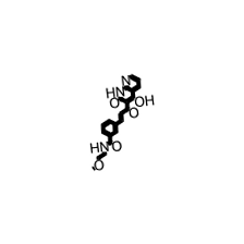 COCCNC(=O)c1cccc(/C=C/C(=O)c2c(O)c3cccnc3[nH]c2=O)c1